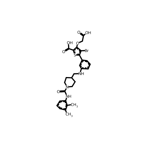 Cc1cccc(NC(=O)N2CCC(CNc3cccc(-c4sc(C(=O)O)c(OCC(=O)O)c4Br)c3)CC2)c1C